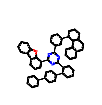 c1ccc(-c2ccc(-c3ccccc3-c3nc(-c4cccc(-c5cccc6ccc7ccccc7c56)c4)nc(-c4cccc5c4oc4ccccc45)n3)cc2)cc1